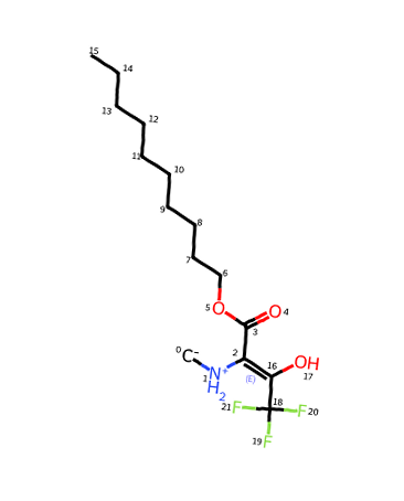 [CH2-][NH2+]/C(C(=O)OCCCCCCCCCC)=C(/O)C(F)(F)F